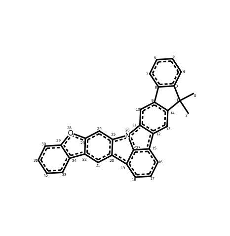 CC1(C)c2ccccc2-c2cc3c(cc21)c1cccc2c4cc5c(cc4n3c12)oc1ccccc15